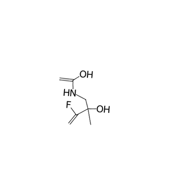 C=C(O)NCC(C)(O)C(=C)F